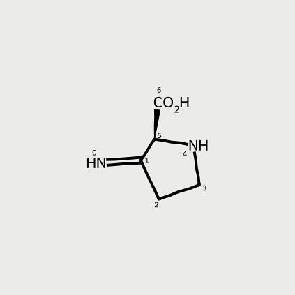 N=C1CCN[C@@H]1C(=O)O